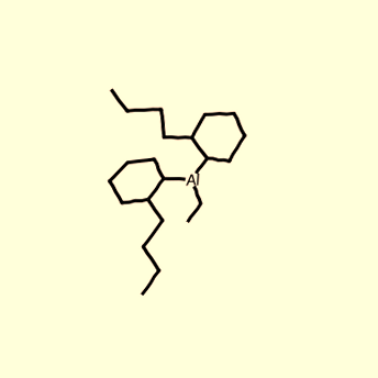 CCCCC1CCCC[CH]1[Al]([CH2]C)[CH]1CCCCC1CCCC